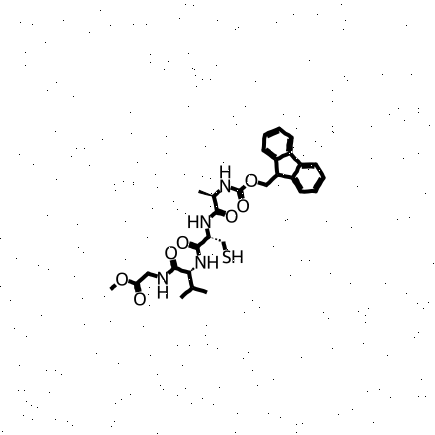 COC(=O)CNC(=O)[C@H](NC(=O)[C@@H](CS)NC(=O)[C@@H](C)NC(=O)OCC1c2ccccc2-c2ccccc21)C(C)C